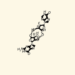 Nc1nc2c(ncn2[C@@H]2OC3OPOC[C@H]4[C@H](F)[C@H](n5cnc6c(=O)[nH]cnc65)O[C@@H]4COPO[C@@H]2[C@@H]3O)c(=O)[nH]1